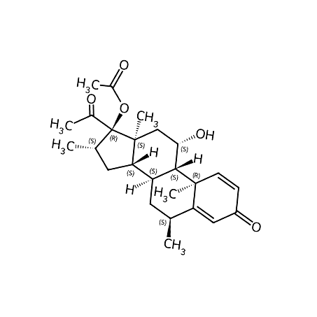 CC(=O)O[C@]1(C(C)=O)[C@@H](C)C[C@H]2[C@@H]3C[C@H](C)C4=CC(=O)C=C[C@]4(C)[C@H]3[C@@H](O)C[C@@]21C